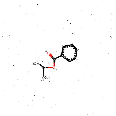 CCCCCCCCC(CCCCCCCC)OC(=O)c1ccccc1